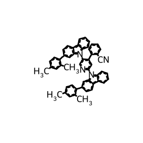 Cc1ccc(-c2ccc3c4ccccc4n(-c4cc(-c5ccccc5C#N)c(-n5c6ccccc6c6ccc(-c7ccc(C)cc7C)cc65)cn4)c3c2)c(C)c1